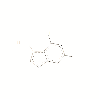 Cc1cc(Cl)c2c(ccn2C(=O)O)c1